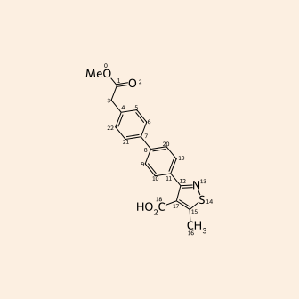 COC(=O)Cc1ccc(-c2ccc(-c3nsc(C)c3C(=O)O)cc2)cc1